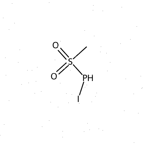 CS(=O)(=O)PI